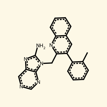 Cc1ccccc1-c1cc2ccccc2nc1Cn1c(N)nc2cncnc21